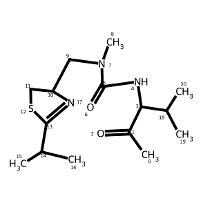 CC(=O)C(NC(=O)N(C)CC1CSC(C(C)C)=N1)C(C)C